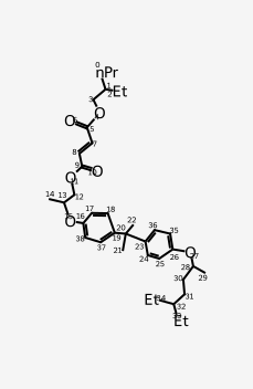 CCCC(CC)COC(=O)/C=C/C(=O)OCC(C)Oc1ccc(C(C)(C)c2ccc(OC(C)CCC(CC)CC)cc2)cc1